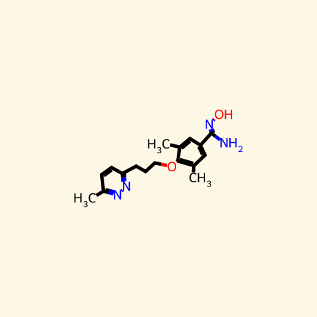 Cc1ccc(CCCOc2c(C)cc(C(N)=NO)cc2C)nn1